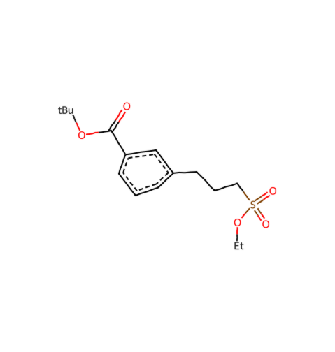 CCOS(=O)(=O)CCCc1cccc(C(=O)OC(C)(C)C)c1